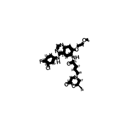 COCCOc1cc2ncnc(Nc3ccc(F)c(Cl)c3)c2cc1NC(=O)C=CCN1CC(=O)O[C@H](C)C1